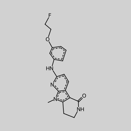 Cn1c2c(c3ccc(Nc4cccc(OCCF)c4)nc31)C(=O)NCC2